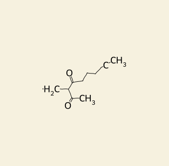 [CH2]C(C(C)=O)C(=O)CCCCCC